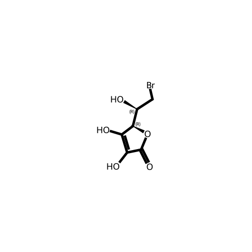 O=C1O[C@H]([C@@H](O)CBr)C(O)=C1O